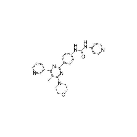 Cc1c(-c2cccnc2)nc(-c2ccc(NC(=O)Nc3ccncc3)cc2)nc1N1CCOCC1